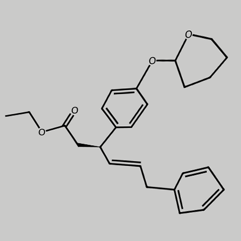 CCOC(=O)C[C@H](/C=C/Cc1ccccc1)c1ccc(OC2CCCCO2)cc1